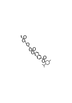 C=CC(=O)OCCOCCOC(=O)Oc1ccc2cc(C(=O)OC3CC(C)CCC3C(C)C)ccc2c1